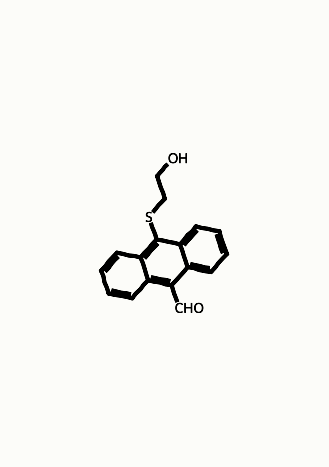 O=Cc1c2ccccc2c(SCCO)c2ccccc12